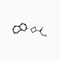 O=C(CBr)[C@H]1C[C@H](c2ccc3ccccc3n2)C1